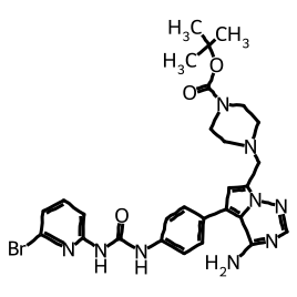 CC(C)(C)OC(=O)N1CCN(Cc2cc(-c3ccc(NC(=O)Nc4cccc(Br)n4)cc3)c3c(N)ncnn23)CC1